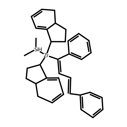 C[SiH](C)[Zr]([C](=CC=Cc1ccccc1)c1ccccc1)([CH]1CCC2CC=CC=C21)[CH]1CCC2CC=CC=C21